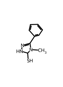 CN1C(c2ccccc2)=NNC1S